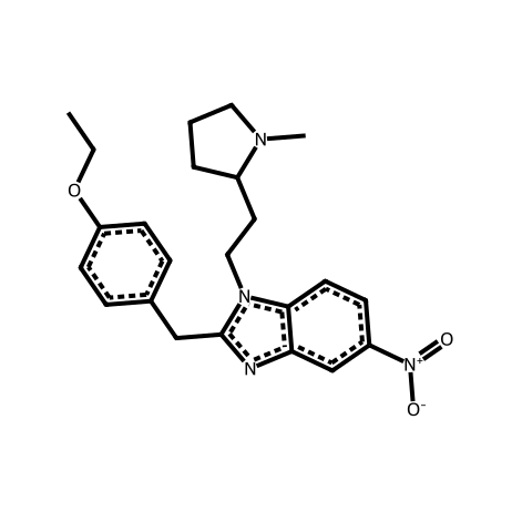 CCOc1ccc(Cc2nc3cc([N+](=O)[O-])ccc3n2CCC2CCCN2C)cc1